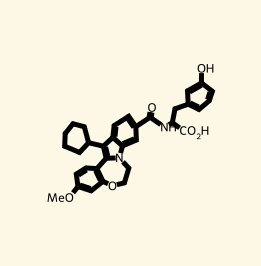 COc1ccc2c(c1)OCCn1c-2c(C2CCCCC2)c2ccc(C(=O)NC(Cc3cccc(O)c3)C(=O)O)cc21